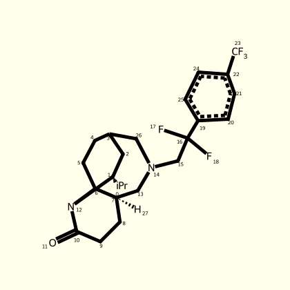 CC(C)[C@H]1CC2CCC3[C@H](CCC(=O)N31)CN(CC(F)(F)c1ccc(C(F)(F)F)cc1)C2